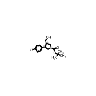 CC(C)(C)OC(=O)N1C[C@@H](CO)[C@H](c2ccc(Cl)cc2)C1